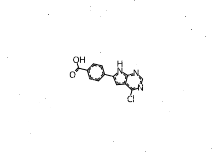 O=C(O)c1ccc(-c2cc3c(Cl)ncnc3[nH]2)cc1